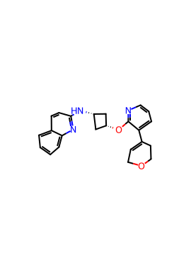 C1=C(c2cccnc2O[C@H]2C[C@@H](Nc3ccc4ccccc4n3)C2)CCOC1